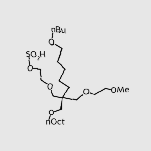 CCCCCCCCOC[C@@](CCCCCOCCCC)(COCCOC)COCCOS(=O)(=O)O